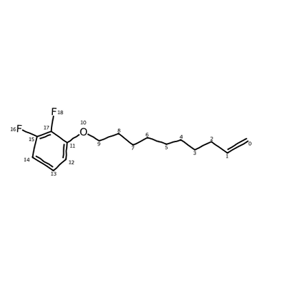 C=CCCCCCCCCOc1cccc(F)c1F